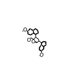 COc1ccc2c(C(C=O)CC(CC=O)c3cccc4cc(OC)ccc34)cccc2c1